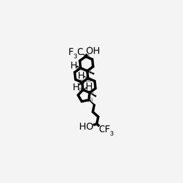 C[C@]12CC[C@@](O)(C(F)(F)F)C[C@@H]1CC[C@@H]1[C@@H]2CC[C@]2(C)[C@@H](CCCC(O)C(F)(F)F)CC[C@@H]12